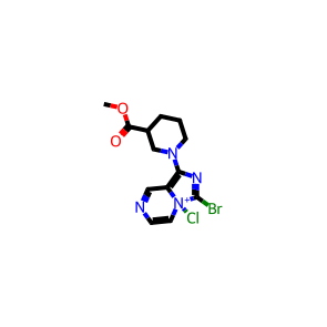 COC(=O)C1CCCN(C2=C3C=NC=C[N+]3(Cl)C(Br)=N2)C1